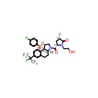 O=C([C@@H]1C[C@H](F)C(=O)N1CCO)N1CC[C@]2(S(=O)(=O)c3ccc(F)cc3)c3ccc(C(F)(C(F)(F)F)C(F)(F)F)cc3CC[C@H]12